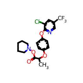 CC(Oc1ccc(Oc2ncc(C(F)(F)F)cc2Cl)cc1)C(=O)ON1CCCCC1